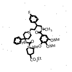 CCOC(=O)C1CCN(C(=O)NC2(c3ccccc3)CCN(CCC(CN(C)C(=O)c3cc(OC)c(OC)c(OC)c3)c3ccc(F)cc3)CC2)CC1